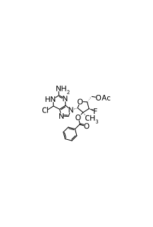 CC(=O)OC[C@H]1O[C@@H](n2cnc3c2N=C(N)NC3Cl)[C@](C)(OC(=O)c2ccccc2)[C@@H]1F